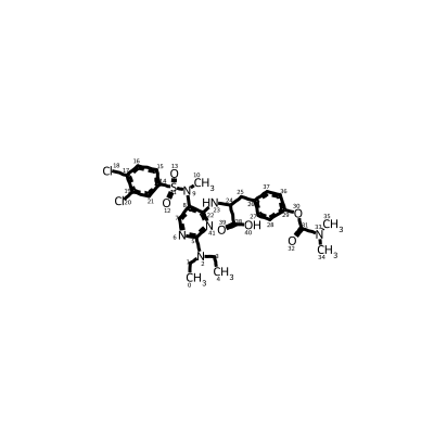 CCN(CC)c1ncc(N(C)S(=O)(=O)c2ccc(Cl)c(Cl)c2)c(NC(Cc2ccc(OC(=O)N(C)C)cc2)C(=O)O)n1